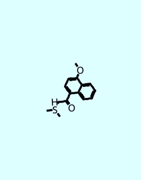 COc1ccc(C(=O)C[SH](C)C)c2ccccc12